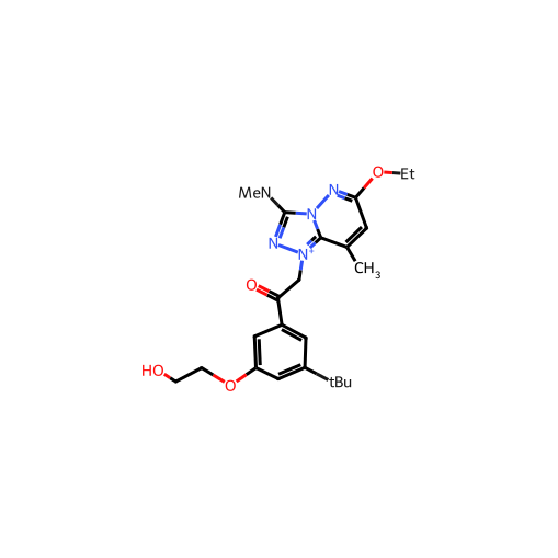 CCOc1cc(C)c2n(n1)c(NC)n[n+]2CC(=O)c1cc(OCCO)cc(C(C)(C)C)c1